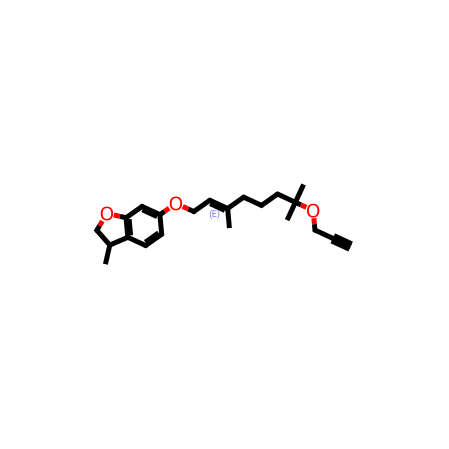 C#CCOC(C)(C)CCC/C(C)=C/COc1ccc2c(c1)OCC2C